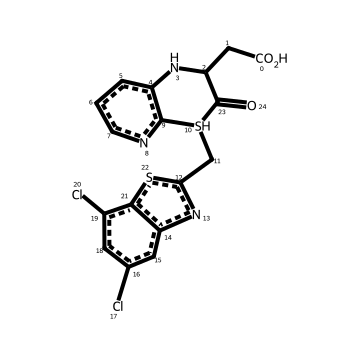 O=C(O)CC1Nc2cccnc2[SH](Cc2nc3cc(Cl)cc(Cl)c3s2)C1=O